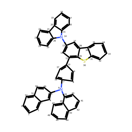 c1ccc2cc(N(c3ccc(-c4cc(-n5c6ccccc6c6ccccc65)cc5c4sc4ccccc45)cc3)c3cccc4ccccc34)ccc2c1